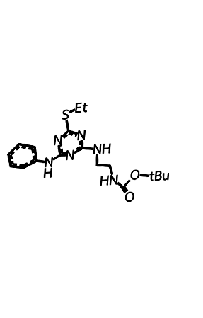 CCSc1nc(NCCNC(=O)OC(C)(C)C)nc(Nc2ccccc2)n1